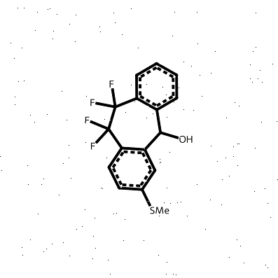 CSc1ccc2c(c1)C(O)c1ccccc1C(F)(F)C2(F)F